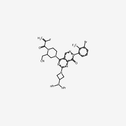 C=C(F)C(=O)N1CCN(c2nc(N3CC(N(CCC)CCC)C3)nc3c(=O)n(-c4cccc(Br)c4C(F)(F)F)ncc23)CC1CC#N